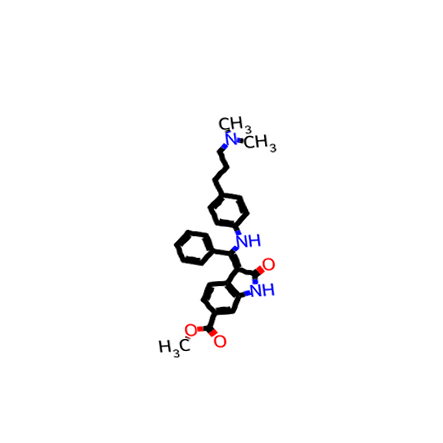 COC(=O)c1ccc2c(c1)NC(=O)/C2=C(\Nc1ccc(CCCN(C)C)cc1)c1ccccc1